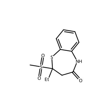 CCC1(S(C)(=O)=O)CC(=O)Nc2ccccc2S1